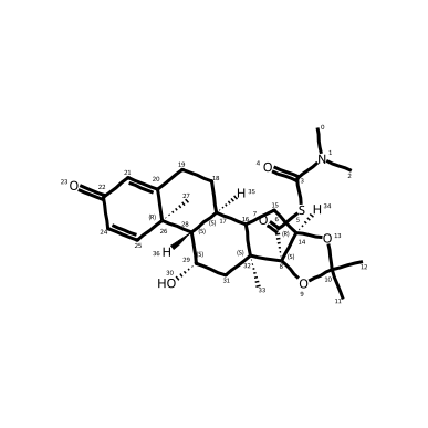 CN(C)C(=O)SC(=O)[C@@]12OC(C)(C)O[C@@H]1CC1[C@@H]3CCC4=CC(=O)C=C[C@]4(C)[C@H]3[C@@H](O)C[C@@]12C